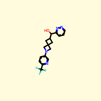 OC(c1cccnn1)C1CC2(C1)CN(c1ccc(C(F)(F)F)nc1)C2